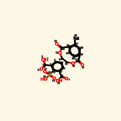 O=C(O)c1cccc(C(=O)O)c1S(=O)(=O)O.O=C1OCCOC(=O)c2ccc1c[c]2[Na]